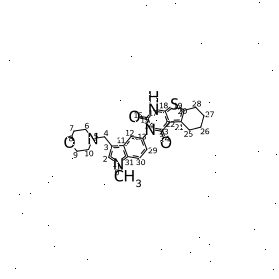 Cn1cc(CN2CCOCC2)c2cc(-n3c(=O)[nH]c4sc5c(c4c3=O)CCCC5)ccc21